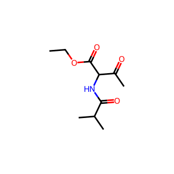 CCOC(=O)C(NC(=O)C(C)C)C(C)=O